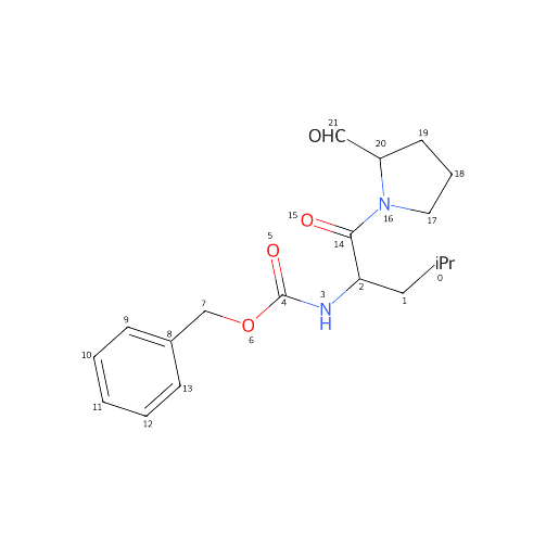 CC(C)CC(NC(=O)OCc1ccccc1)C(=O)N1CCCC1C=O